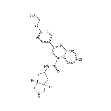 CCOc1ccc(-c2cc(C(=O)NC3C[C@H]4CNC[C@H]4C3)c3ccccc3n2)cn1.Cl